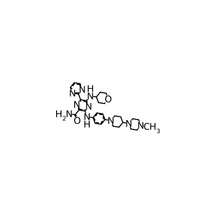 CN1CCN(C2CCN(c3ccc(Nc4nc(NC5CCOCC5)c(-c5ncccn5)nc4C(N)=O)cc3)CC2)CC1